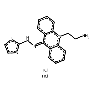 Cl.Cl.NCCn1c2ccccc2c(=NNc2nccs2)c2ccccc21